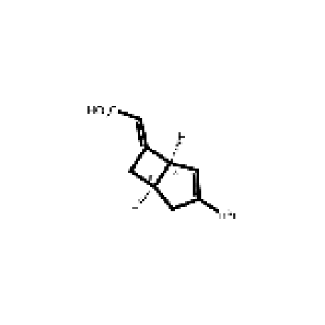 CCCC1=C[C@@H]2C(=CC(=O)O)C[C@@H]2C1